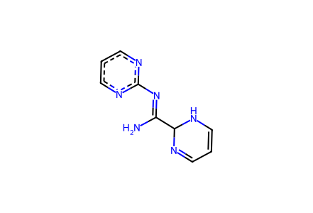 NC(=Nc1ncccn1)C1N=CC=CN1